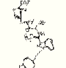 C=C(NC(C(=O)NCc1noc(C(=O)O)n1)C(C)(C)C)c1nn(Cc2ccc(F)cc2)c2ccccc12